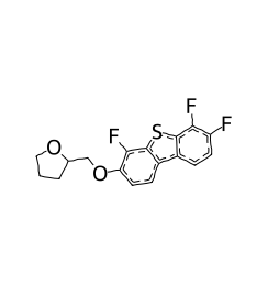 Fc1ccc2c(sc3c(F)c(OCC4CCCO4)ccc32)c1F